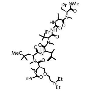 C=C(C)C(C)[C@@H](NC(=O)[C@H](CC(C)(C)OC)N(C)C(=O)[C@@H](COCCN(CC)CC)N(C)C(=O)CCC)C(=O)N(C)[C@@H](C(=O)NC(=O)N[C@@H](C)C(=O)N(C)[C@@H](CC(C)C)C(=O)NC)C(C)(C)C(C)C